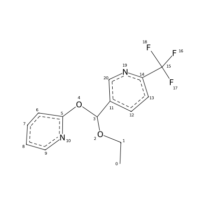 CCOC(Oc1ccccn1)c1ccc(C(F)(F)F)nc1